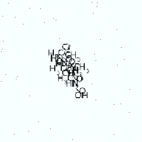 CN[C@H](C(=O)NC(C(=O)N(C)C/C=C(\C)C(=O)NCCC(=O)O)C(C)(C)C)C(C)(C)c1ccccc1